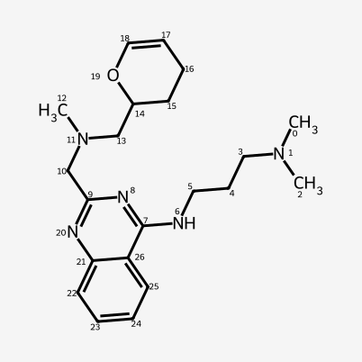 CN(C)CCCNc1nc(CN(C)CC2CCC=CO2)nc2ccccc12